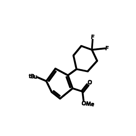 COC(=O)c1ccc(C(C)(C)C)cc1C1CCC(F)(F)CC1